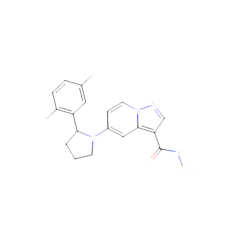 CCCCCNC(=O)c1cnn2ccc(N3CCCC3c3cc(F)ccc3F)cc12